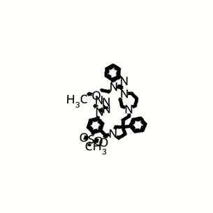 CCOCCn1c(N2CCCN(CCC3(c4ccccc4)CCN(C(=O)c4cc(-n5cnnn5)ccc4S(C)(=O)=O)C3)CC2)nc2ccccc21